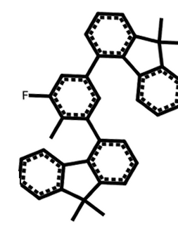 Cc1c(F)cc(-c2cccc3c2-c2ccccc2C3(C)C)cc1-c1cccc2c1-c1ccccc1C2(C)C